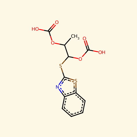 CC(OC(=O)O)C(OC(=O)O)Sc1nc2ccccc2s1